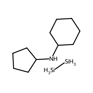 C1CCC(NC2CCCC2)CC1.[SiH3][SiH3]